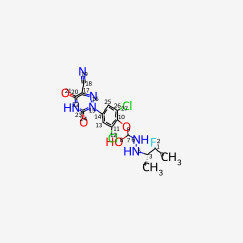 CC(F)[C@H](C)NNC(O)Oc1c(Cl)cc(-n2nc(C#N)c(=O)[nH]c2=O)cc1Cl